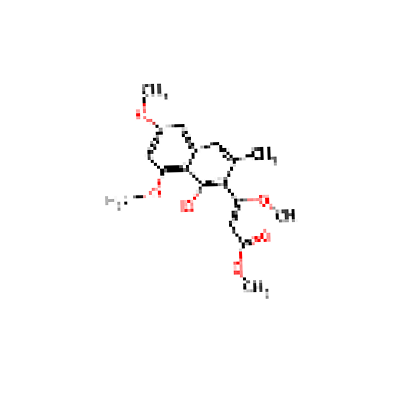 COC(=O)C=C(OC)c1c(C)cc2cc(OC)cc(OC)c2c1O